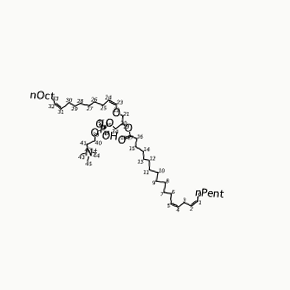 CCCCC/C=C\C/C=C\CCCCCCCCCCCC(=O)O[C@H](CO/C=C\CCCCCC/C=C\CCCCCCCC)COP(=O)(O)OCC[N+](C)(C)C